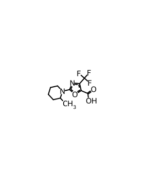 CC1CCCCN1c1nc(C(F)(F)F)c(C(=O)O)o1